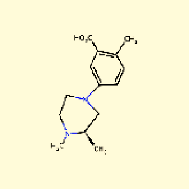 Cc1ccc(N2CCN(C)[C@H](C)C2)cc1C(=O)O